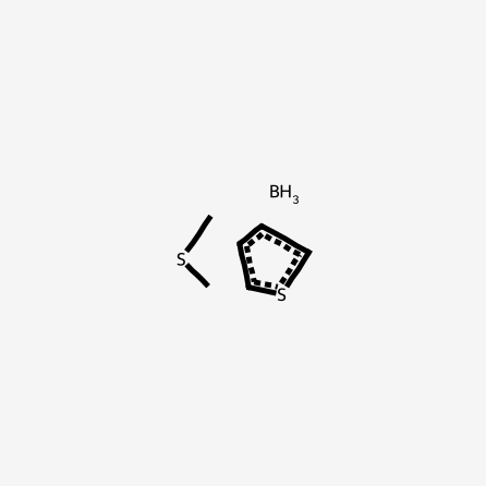 B.CSC.c1ccsc1